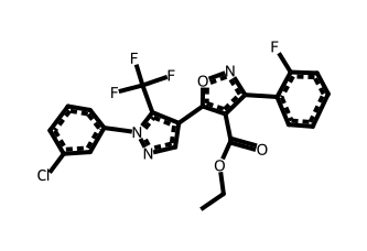 CCOC(=O)c1c(-c2ccccc2F)noc1-c1cnn(-c2cccc(Cl)c2)c1C(F)(F)F